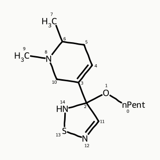 CCCCCOC1(C2=CCC(C)N(C)C2)C=NSN1